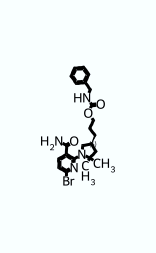 CC1(C)C[C@H](CCCOC(=O)NCc2ccccc2)CN1c1nc(Br)ccc1C(N)=O